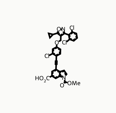 COC(=O)n1ccc2c(C#Cc3ccc(OCc4c(-c5c(Cl)cccc5Cl)noc4C4CC4)cc3Cl)cc(C(=O)O)cc21